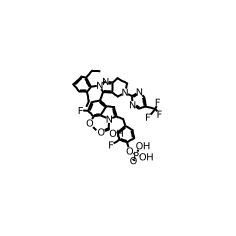 CCc1cccc(CC)c1-n1nc2c(c1-c1cc(F)c(OC)c3c1cc(Cc1ccc(OP(=O)(O)O)c(F)c1)n3C(=O)O)CN(c1ncc(C(F)(F)F)cn1)CC2